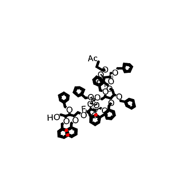 CC(=O)CCC(=O)O[C@@H]1[C@H](F)[C@H](OCC(OCc2ccccc2)C(OCc2ccccc2)C(COP(=O)(OCc2ccccc2)O[C@H]2[C@@H](COCc3ccccc3)OC[C@@]2(F)OCC(OCc2ccccc2)C(OCc2ccccc2)C(CO)OCc2ccccc2)OCc2ccccc2)O[C@@H]1COCc1ccccc1